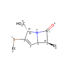 CCSC1=CC2[C@H](CC)C(=O)N2[C@H]1C(=O)O